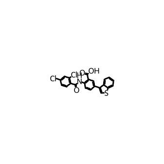 O=C(Nc1ccc(-c2csc3ccccc23)cc1C(=O)O)c1ccc(Cl)cc1Cl